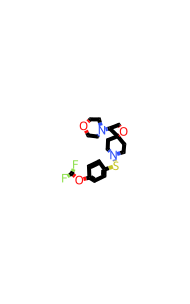 FC(F)Oc1ccc(SN2CCC3(CC2)OCC3N2CCOCC2)cc1